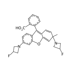 CC1(N2CC(F)C2)C=CC2=C(c3ccccc3C(=O)O)c3ccc(N4CC(F)C4)cc3OC2=C1